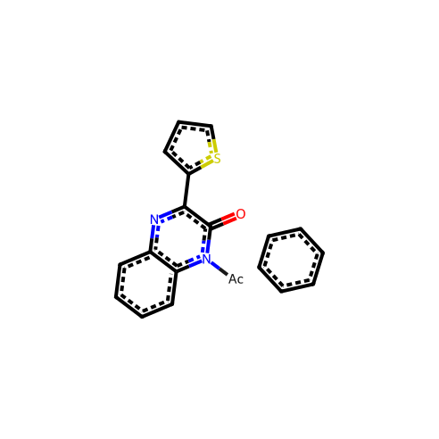 CC(=O)n1c(=O)c(-c2cccs2)nc2ccccc21.c1ccccc1